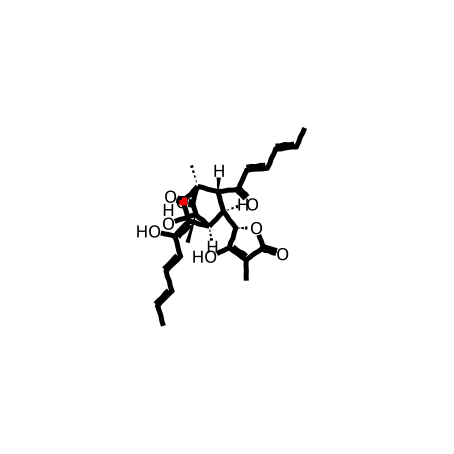 C/C=C/C=C/C(=O)[C@@H]1[C@@H]([C@@H]2OC(=O)C(C)=C2O)[C@H]2\C(=C(O)/C=C/C=C/C)C(=O)[C@]1(C)C(=O)[C@@]2(C)O